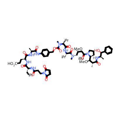 CC[C@H](C)[C@@H]([C@@H](CC(=O)N1CCC[C@H]1[C@H](OC)[C@@H](C)C(=O)N[C@H](C)[C@@H](O)c1ccccc1)OC)N(C)C(=O)[C@@H](NC(=O)[C@H](C(C)C)N(C)C(=O)OCc1ccc(NC(=O)[C@H](C)NC(=O)[C@H](CCC(=O)O)NC(=O)[C@@H](CC(C)C)NC(=O)CCN2C(=O)C=CC2=O)cc1)C(C)C